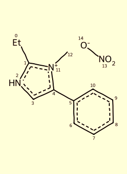 CCc1[nH]cc(-c2ccccc2)[n+]1C.O=[N+]([O-])[O-]